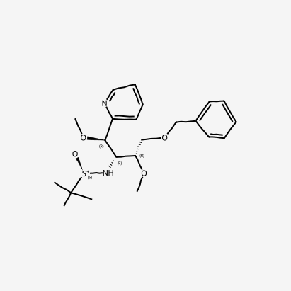 CO[C@@H](COCc1ccccc1)[C@H](N[S@+]([O-])C(C)(C)C)[C@@H](OC)c1ccccn1